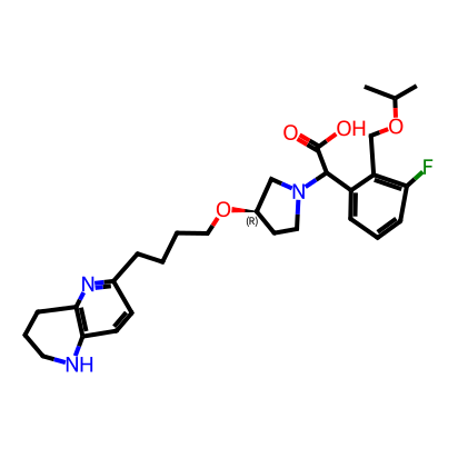 CC(C)OCc1c(F)cccc1C(C(=O)O)N1CC[C@@H](OCCCCc2ccc3c(n2)CCCN3)C1